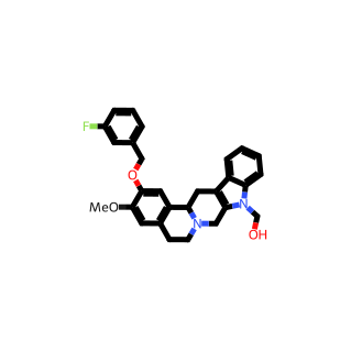 COc1cc2c(cc1OCc1cccc(F)c1)C1Cc3c(n(CO)c4ccccc34)CN1CC2